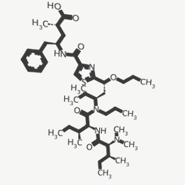 CCCO[C@H](C[C@H](C(C)C)N(CCC)C(=O)[C@@H](NC(=O)[C@H]([C@@H](C)CC)N(C)C)[C@@H](C)CC)c1nc(C(=O)N[C@@H](Cc2ccccc2)C[C@H](C)C(=O)O)cs1